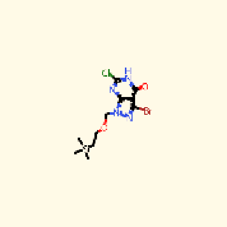 C[Si](C)(C)CCOCn1nc(Br)c2c(=O)[nH]c(Cl)nc21